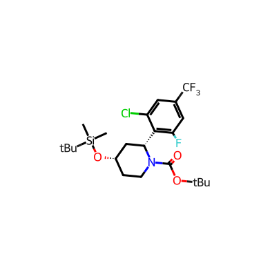 CC(C)(C)OC(=O)N1CC[C@H](O[Si](C)(C)C(C)(C)C)C[C@@H]1c1c(F)cc(C(F)(F)F)cc1Cl